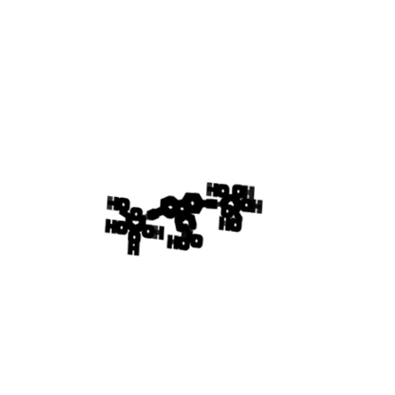 O=C(O)N1CCC2(CC1)c1cc(C#C[C@H]3O[C@H](CO)[C@@H](O)[C@H](O)[C@H]3O)ccc1-c1ccc(C#C[C@H]3O[C@H](CO)[C@@H](O)[C@H](O)[C@H]3O)cc12